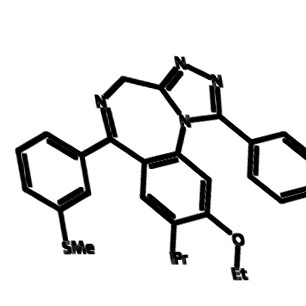 CCOc1cc2c(cc1C(C)C)C(c1cccc(SC)c1)=NCc1nnc(-c3ccccc3)n1-2